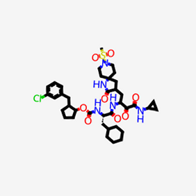 CS(=O)(=O)N1CCC2(CC1)CC(CC(NC(=O)[C@H](CC1CCCCC1)NC(=O)OC1CCCC1Cc1cccc(Cl)c1)C(=O)C(=O)NC1CC1)C(=O)N2